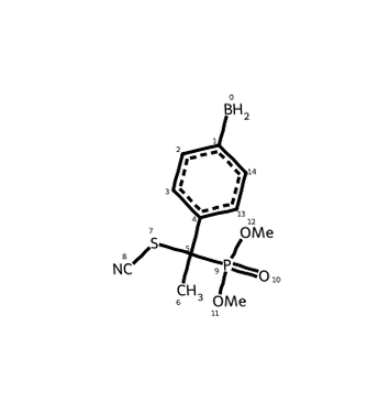 Bc1ccc(C(C)(SC#N)P(=O)(OC)OC)cc1